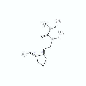 C/C=C1\CCC\C1=C/CN(CC)C(=S)N(C)CC